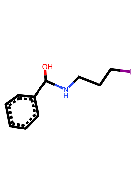 OC(NCCCI)c1ccccc1